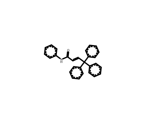 O=C(C=CC(c1ccccc1)(c1ccccc1)c1ccccc1)Nc1ccccc1